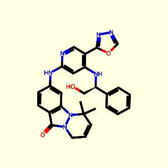 CC1(C)C=CCn2c(=O)c3ccc(Nc4cc(N[C@H](CO)c5ccccc5)c(-c5nnco5)cn4)cc3n21